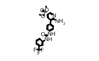 COP(=O)(OC)c1cnc(N)c(-c2ccc(NC(=O)Nc3cccc(C(F)(F)F)c3)cc2)c1